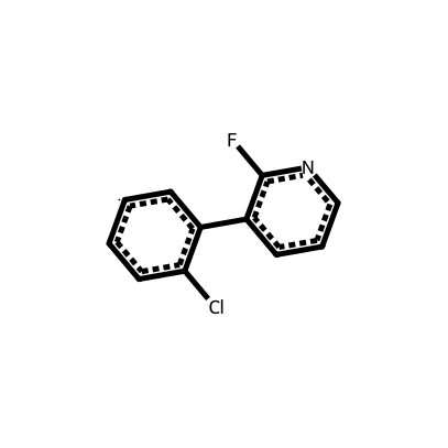 Fc1ncccc1-c1c[c]ccc1Cl